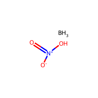 B.O=[N+]([O-])O